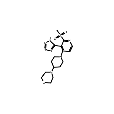 CS(=O)(=O)c1nccc(N2CCC(N3CCOCC3)CC2)c1-c1nnn[nH]1